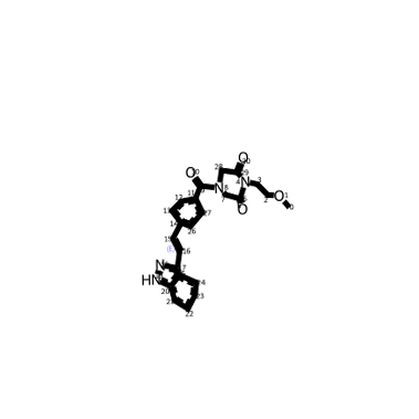 COCCN1C(=O)CN(C(=O)c2ccc(/C=C/c3n[nH]c4ccccc34)cc2)CC1=O